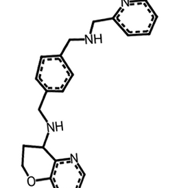 c1ccc(CNCc2ccc(CNC3CCOc4cccnc43)cc2)nc1